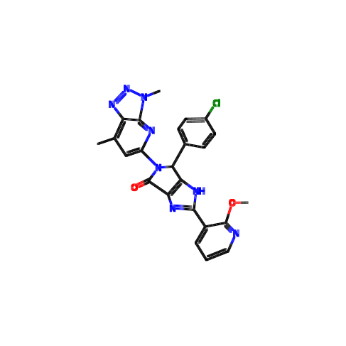 COc1ncccc1-c1nc2c([nH]1)C(c1ccc(Cl)cc1)N(c1cc(C)c3nnn(C)c3n1)C2=O